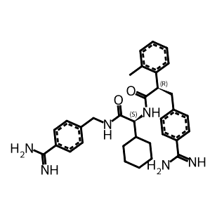 Cc1ccccc1[C@@H](Cc1ccc(C(=N)N)cc1)C(=O)N[C@H](C(=O)NCc1ccc(C(=N)N)cc1)C1CCCCC1